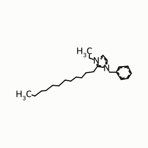 CCCCCCCCCCCCc1n(Cc2ccccc2)cc[n+]1CC